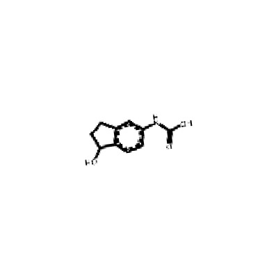 O=C(O)Nc1ccc2c(c1)CCC2O